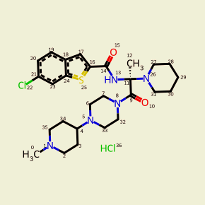 CN1CCC(N2CCN(C(=O)[C@@](C)(NC(=O)c3cc4ccc(Cl)cc4s3)N3CCCCC3)CC2)CC1.Cl